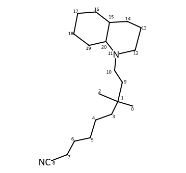 CC(C)(CCCCCC#N)CCN1CCCC2CCCCC21